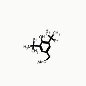 CCC(C)(C)c1cc(COC)cc(C(C)(C)CC)c1O